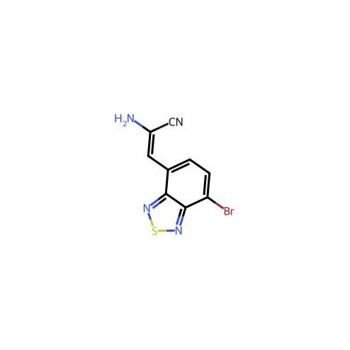 N#C/C(N)=C\c1ccc(Br)c2nsnc12